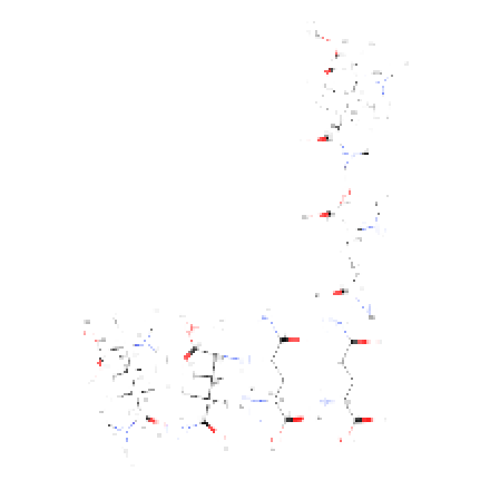 [15NH2]C(=O)CC[C@H]([15NH2])C(=O)O.[15NH2]C(=O)CC[C@H]([15NH2])C(=O)O.[2H]C([2H])(C(N)=O)C([2H])([2H])[C@]([2H])(N)C(=O)O.[2H]N([2H])[13C](=O)[13C]([2H])([2H])[13C]([2H])([2H])[13C@@]([2H])([13C](=O)O)N([2H])[2H].[2H]O[13C](=O)[13C@@]([2H])([15N]([2H])[2H])[13C]([2H])([2H])[13C]([2H])([2H])[13C](=O)[15N]([2H])[2H].[2H][15NH][13C@@H]([13CH2][13CH2][13C]([15NH2])=O)[13C](=O)O